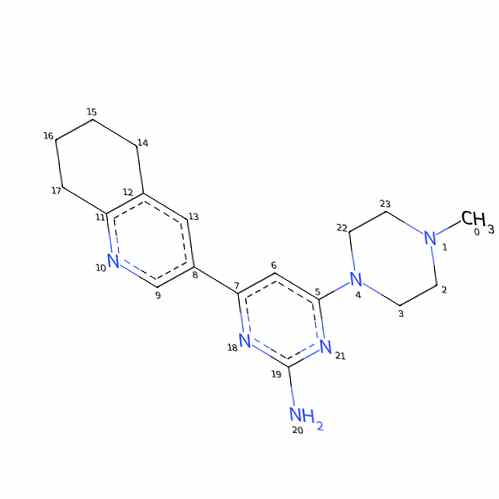 CN1CCN(c2cc(-c3cnc4c(c3)CCCC4)nc(N)n2)CC1